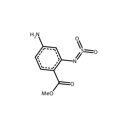 COC(=O)c1ccc(N)cc1N=S(=O)=O